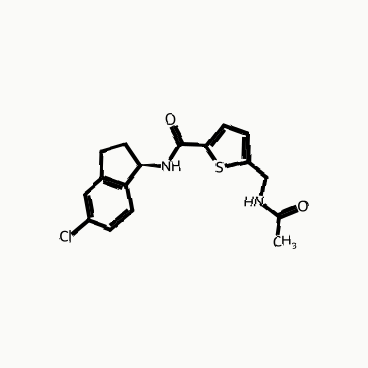 CC(=O)NCc1ccc(C(=O)N[C@@H]2CCc3cc(Cl)ccc32)s1